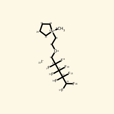 C[N+]1(CCOCC(F)(F)C(F)(F)C(F)(F)C(F)F)CCCC1.[I-]